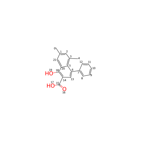 Cc1cc(C)c2c(-c3ccccc3)cc(C(=O)O)c(O)c2c1